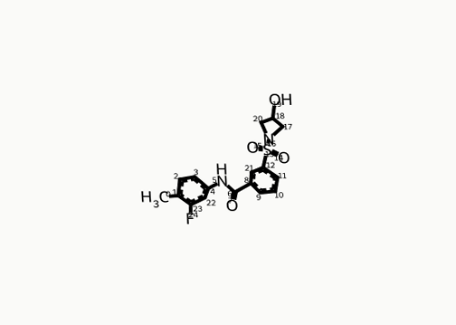 Cc1ccc(NC(=O)c2cccc(S(=O)(=O)N3CC(O)C3)c2)cc1F